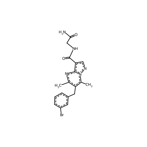 Cc1nc2c(C(=O)NCC(N)=O)cnn2c(C)c1Cc1cccc(Br)c1